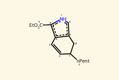 CCCCCC1C=Cc2c(c[nH]c2C(=O)OCC)C1